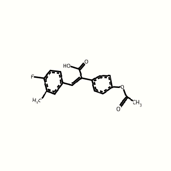 CC(=O)Oc1ccc(/C(=C/c2ccc(F)c(C)c2)C(=O)O)cc1